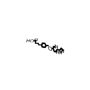 O=C(O)CCCc1ccc(COc2ccc(-c3ccn[nH]3)nc2)cc1